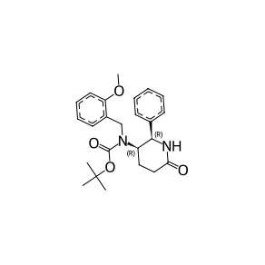 COc1ccccc1CN(C(=O)OC(C)(C)C)[C@@H]1CCC(=O)N[C@@H]1c1ccccc1